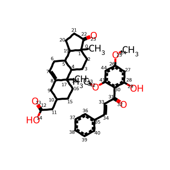 CC12CCC3C(CC=C4CC(CC(=O)O)CCC43C)C1CCC2=O.COc1cc(O)c(C(=O)C=Cc2ccccc2)c(OC)c1